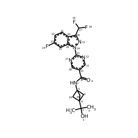 CC(C)(O)C12CC(NC(=O)c3cnc(-n4nc(C(F)F)c5ccc(F)cc54)nc3)(C1)C2